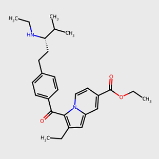 CCN[C@@H](CCc1ccc(C(=O)c2c(CC)cc3cc(C(=O)OCC)ccn23)cc1)C(C)C